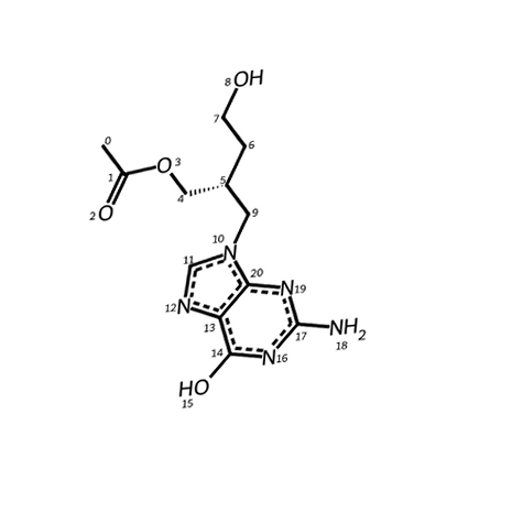 CC(=O)OC[C@H](CCO)Cn1cnc2c(O)nc(N)nc21